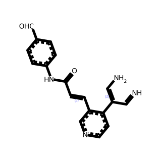 N=C/C(=C\N)c1ccncc1/C=C/C(=O)Nc1ccc(C=O)cc1